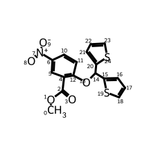 COC(=O)c1cc([N+](=O)[O-])ccc1OC(c1cccs1)c1cccs1